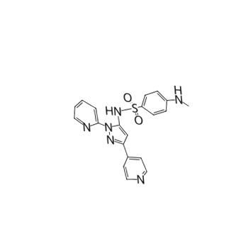 CNc1ccc(S(=O)(=O)Nc2cc(-c3ccncc3)nn2-c2ccccn2)cc1